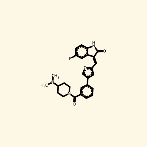 CN(C)C1CCN(C(=O)c2cccc(-c3coc(/C=C4/C(=O)Nc5ccc(F)cc54)c3)c2)CC1